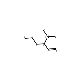 C=CC(CCC)N(C)C